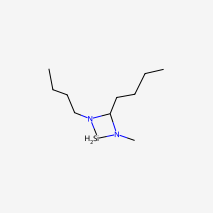 CCCCC1N(C)[SiH2]N1CCCC